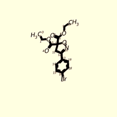 CCOC(=O)C1(C(=O)OCC)CC(c2ccc(Br)cc2)=NO1